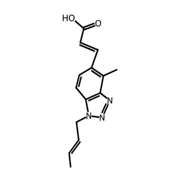 CC=CCn1nnc2c(C)c(/C=C/C(=O)O)ccc21